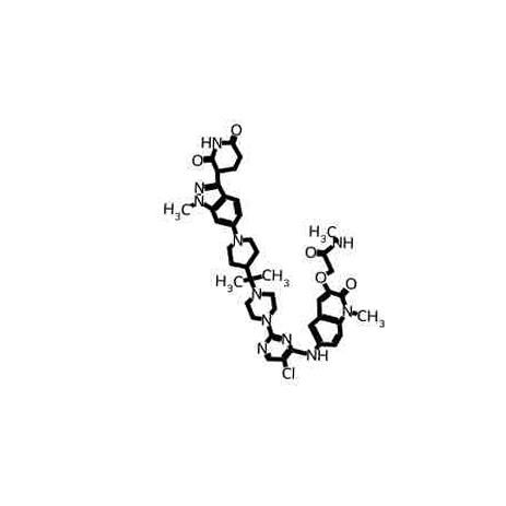 CNC(=O)COc1cc2cc(Nc3nc(N4CCN(C(C)(C)C5CCN(c6ccc7c(C8CCC(=O)NC8=O)nn(C)c7c6)CC5)CC4)ncc3Cl)ccc2n(C)c1=O